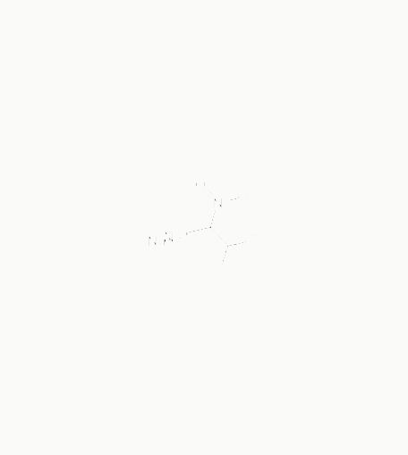 CC(C([O-])[O-])[N+](=O)[O-].[Na+].[Na+]